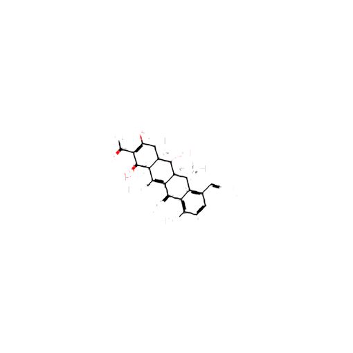 C=Cc1ccc(C)c2c1[C@@H](C)[C@@]1(C)C(=C(C)[C@@]3(C)C(=O)C(C(C)=O)=C(O)C[C@@]3(C)[C@@H]1O)C2=C